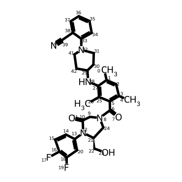 Cc1cc(C)c(C(=O)N2CC(=O)N(c3ccc(F)c(F)c3)[C@H](CO)C2)c(C)c1NC1CCN(c2ccccc2C#N)CC1